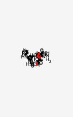 Nc1nc2c(ncn2[C@]23CO[C@@H](COP(=O)(S)O[C@H]4C[C@H](Nc5ccncn5)C[C@@H]4COP(=O)(S)O2)[C@H]3O)c(=O)[nH]1